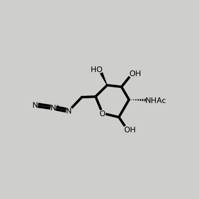 CC(=O)N[C@@H]1C(O)OC(CN=[N+]=[N-])[C@@H](O)C1O